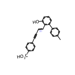 Cc1ccc(-c2cccc(O)c2/C=C/C#Cc2ccc(C(=O)O)cc2)cc1